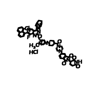 CN1C[C@@H](N2CCC(C(=O)N3CCN(c4ccc5c(c4)C(=O)N(C4CCC(=O)NC4=O)C5=O)CC3)CC2)C[C@H]1COc1nc(N2CC3CCC(C2)N3)c2cnc(-c3cccc4cccc(Cl)c34)c(F)c2n1.Cl